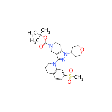 CC(C)(C)OC(=O)N1CCc2c(c(N3CCCc4ccc(S(C)(=O)=O)cc43)nn2C2CCOCC2)C1